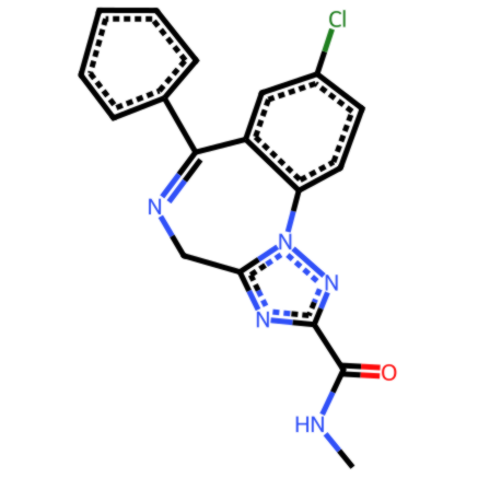 CNC(=O)c1nc2n(n1)-c1ccc(Cl)cc1C(c1ccccc1)=NC2